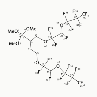 CO[Si](OC)(OC)C(CCOC(F)(F)C(F)OC(F)(F)C(F)(F)C(F)(F)F)COC(F)(F)C(F)OC(F)(F)C(F)(F)C(F)(F)F